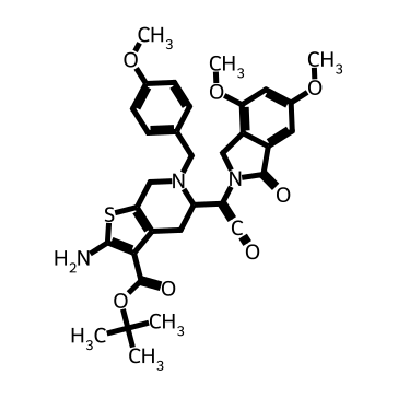 COc1ccc(CN2Cc3sc(N)c(C(=O)OC(C)(C)C)c3CC2C(=C=O)N2Cc3c(OC)cc(OC)cc3C2=O)cc1